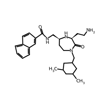 CC1CC(C)CC(CN2CC[C@@H](CNC(=O)c3ccc4ccccc4c3)N[C@@H](CCN)C2=O)C1